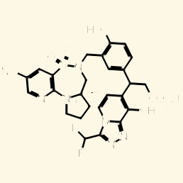 CCOC(=O)CC(c1ccc(C)c(CN2C[C@H]3CCCN3c3ncc(C#N)cc3S2(=O)=O)c1)c1ccn2c(C(F)F)nnc2c1C